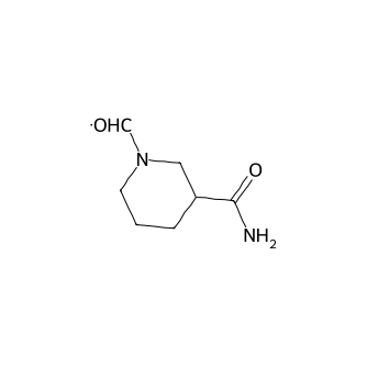 NC(=O)C1CCCN([C]=O)C1